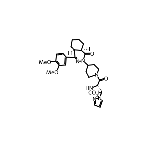 COc1ccc(C2=NN(C3CCN(C(=O)[C@H](Cn4cccn4)NC(=O)O)CC3)C(=O)[C@@H]3CCCC[C@H]23)cc1OC